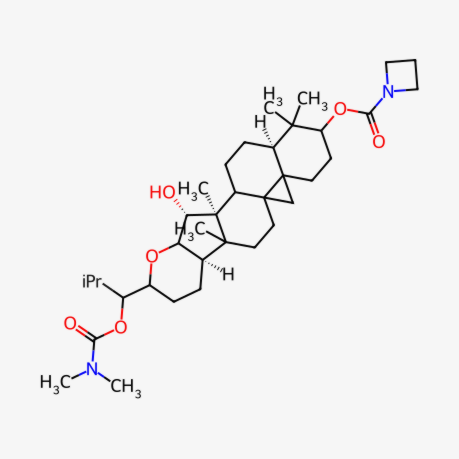 CC(C)C(OC(=O)N(C)C)C1CC[C@H]2C(O1)[C@H](O)[C@@]1(C)C3CC[C@H]4C(C)(C)C(OC(=O)N5CCC5)CCC45CC35CCC21C